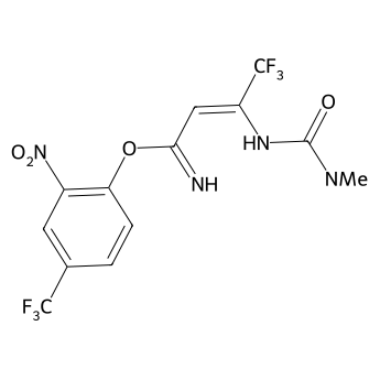 CNC(=O)N/C(=C\C(=N)Oc1ccc(C(F)(F)F)cc1[N+](=O)[O-])C(F)(F)F